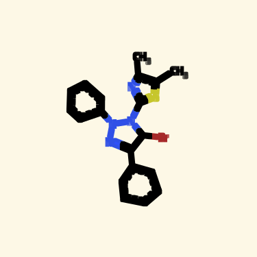 Cc1nc(N2C(Br)C(c3ccccc3)=NN2c2ccccc2)sc1C